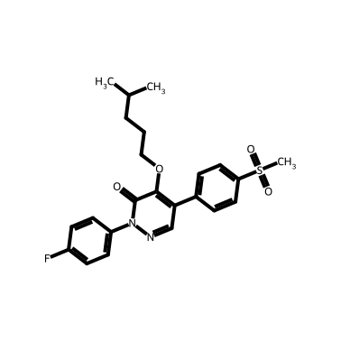 CC(C)CCCOc1c(-c2ccc(S(C)(=O)=O)cc2)cnn(-c2ccc(F)cc2)c1=O